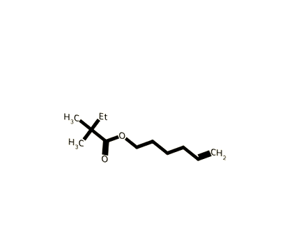 C=CCCCCOC(=O)C(C)(C)CC